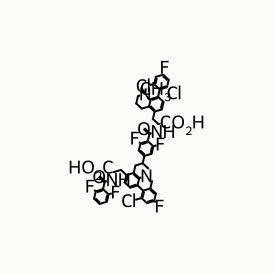 CN1CCCc2c(C[C@H](NC(=O)c3c(F)cc(C4Cc5c(C[C@H](NC(=O)c6c(F)cccc6F)C(=O)O)ccc6c5N(Cc5cc(F)cc(Cl)c5-6)C4)cc3F)C(=O)O)ccc(-c3c(Cl)cc(F)cc3Cl)c21